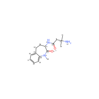 CN1C(=O)C(NC(=O)CC(C)(C)N)CCc2ccccc21